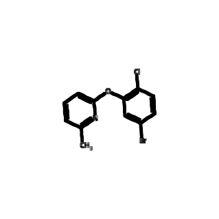 Cc1cccc(Oc2cc(Br)ccc2Cl)n1